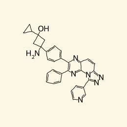 NC1(c2ccc(-c3nc4ccc5nnc(-c6cccnc6)n5c4nc3-c3ccccc3)cc2)CC(O)(C2CC2)C1